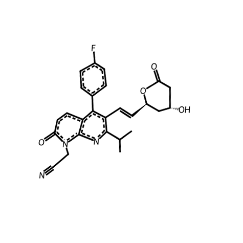 CC(C)c1nc2c(ccc(=O)n2CC#N)c(-c2ccc(F)cc2)c1/C=C/[C@@H]1C[C@@H](O)CC(=O)O1